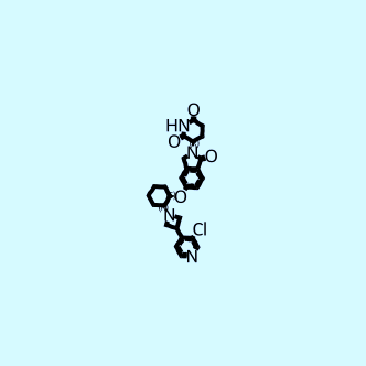 O=C1CC[C@@H](N2Cc3cc(O[C@H]4CCCC[C@H]4N4CC(c5ccncc5Cl)C4)ccc3C2=O)C(=O)N1